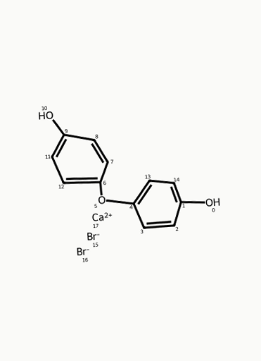 Oc1ccc(Oc2ccc(O)cc2)cc1.[Br-].[Br-].[Ca+2]